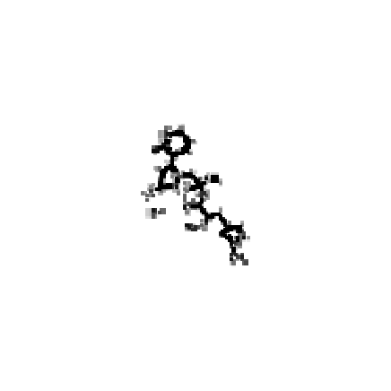 Br.CN[C@H](Cc1cnn(C)c1)C(=O)NC(C)(C)Cn1nc(C(F)(F)F)cc1-c1ccc[nH]c1=O